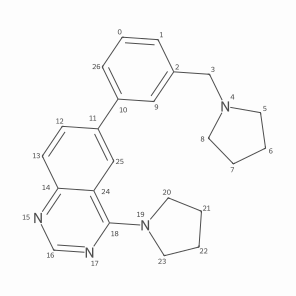 c1cc(CN2CCCC2)cc(-c2ccc3ncnc(N4CCCC4)c3c2)c1